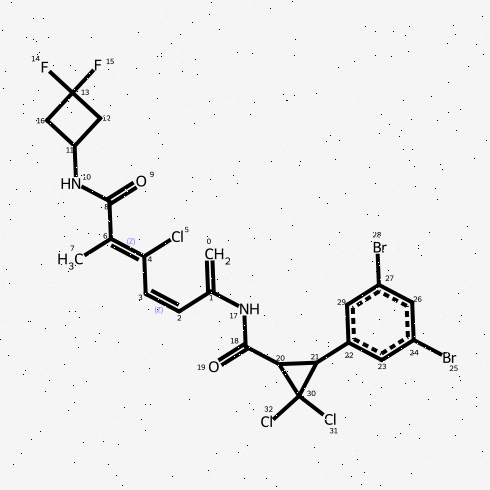 C=C(/C=C\C(Cl)=C(/C)C(=O)NC1CC(F)(F)C1)NC(=O)C1C(c2cc(Br)cc(Br)c2)C1(Cl)Cl